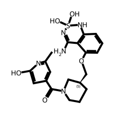 Cc1cc(C(=O)N2CCC[C@H](COc3cccc4c3C(N)=NS(O)(O)N4)C2)cc(O)n1